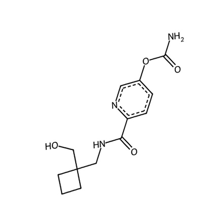 NC(=O)Oc1ccc(C(=O)NCC2(CO)CCC2)nc1